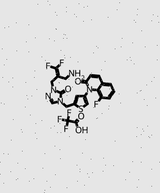 NCC(Cn1ncn(Cc2cc(-n3c(=O)ccc4cccc(F)c43)cs2)c1=O)=C(F)F.O=C(O)C(F)(F)F